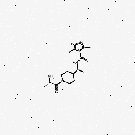 Cc1n[nH]c(C)c1C(=O)NC(C)C1CCN(C(=O)[C@H](C)N)CC1